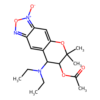 CCN(CC)C1c2cc3no[n+]([O-])c3cc2OC(C)(C)C1OC(C)=O